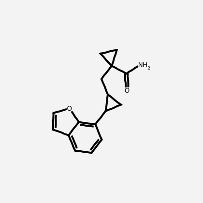 NC(=O)C1(CC2CC2c2cccc3ccoc23)CC1